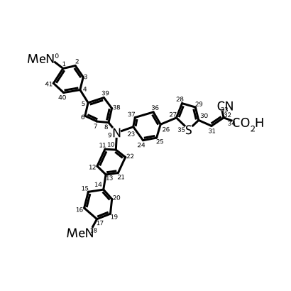 CNc1ccc(-c2ccc(N(c3ccc(-c4ccc(NC)cc4)cc3)c3ccc(-c4ccc(/C=C(\C#N)C(=O)O)s4)cc3)cc2)cc1